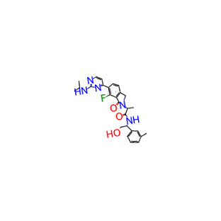 Cc1cccc(C(CO)NC(=O)C(C)N2Cc3ccc(-c4ccnc(NC(C)C)n4)c(F)c3C2=O)c1